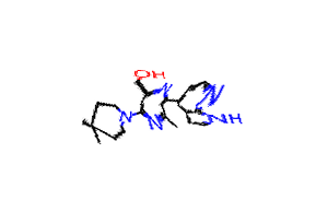 Cc1nc(N2CCC(C)(C)CC2)c(CO)nc1-c1ccnc2[nH]ccc12